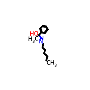 CCCCCCC/N=N/C(C)(O)c1ccccc1